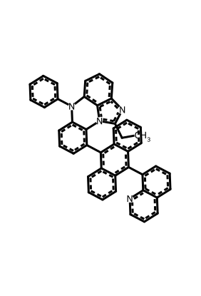 CCc1nc2cccc3c2n1-c1c(-c2c4ccccc4c(-c4cccc5cccnc45)c4ccccc24)cccc1N3c1ccccc1